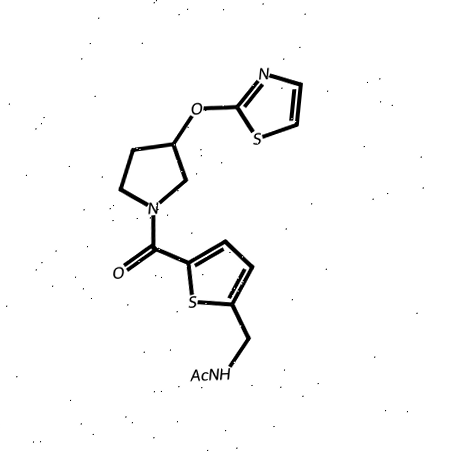 CC(=O)NCc1ccc(C(=O)N2CCC(Oc3nccs3)C2)s1